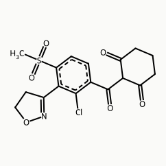 CS(=O)(=O)c1ccc(C(=O)C2C(=O)CCCC2=O)c(Cl)c1C1=NOCC1